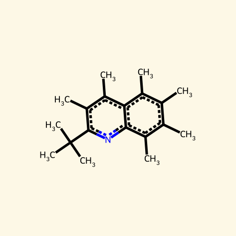 Cc1c(C)c(C)c2c(C)c(C)c(C(C)(C)C)nc2c1C